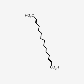 O=C(O)C=CCCCCCCCCCC=CC(=O)O